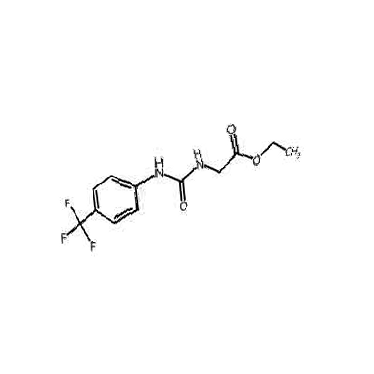 CCOC(=O)CNC(=O)Nc1ccc(C(F)(F)F)cc1